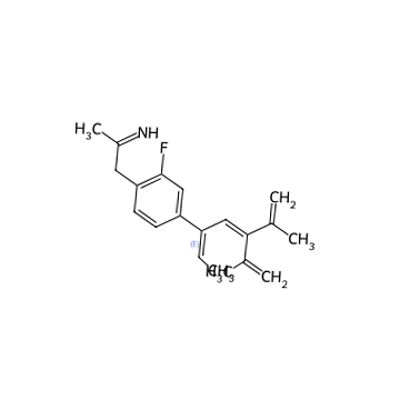 C=C(C)C(=C/C(=C\C)c1ccc(CC(C)=N)c(F)c1)C(=C)C